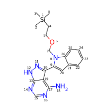 C[Si](C)(C)CCOCn1c(-c2n[nH]c3ncnc(N)c23)cc2ccccc21